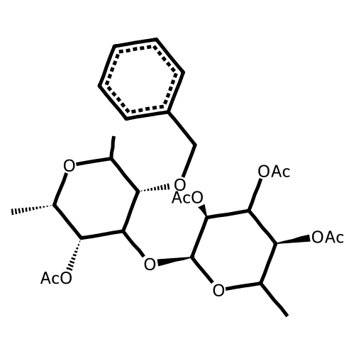 CC(=O)OC1[C@@H](OC(C)=O)C(C)O[C@@H](OC2[C@@H](OCc3ccccc3)C(C)O[C@@H](C)[C@H]2OC(C)=O)[C@H]1OC(C)=O